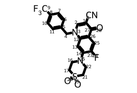 N#Cc1cn(Cc2ccc(C(F)(F)F)cc2)c2cc(N3CCS(=O)(=O)CC3)c(F)cc2c1=O